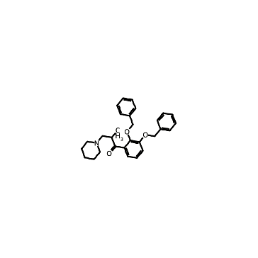 CC(CN1CCCCC1)C(=O)c1cccc(OCc2ccccc2)c1OCc1ccccc1